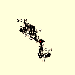 Cc1c(-c2ccc(N3CCc4cccc(C(=O)Nc5nc6ccccc6s5)c4C3)nc2C(=O)O)cnn1CC12CC3(C)CC(C)(C1)CC(OCCN(CC[C@H](O)CO)C(=O)OCc1ccc(NC[C@H](C)NC[C@@H](NC(=O)CN4C(=O)[C@@H](N5C(=O)C=CC5=O)C[C@H]4COCCS(=O)(=O)O)C(C)C)cc1CC[C@@H]1O[C@H](C(=O)O)[C@@H](O)[C@H](O)[C@H]1O)(C3)C2